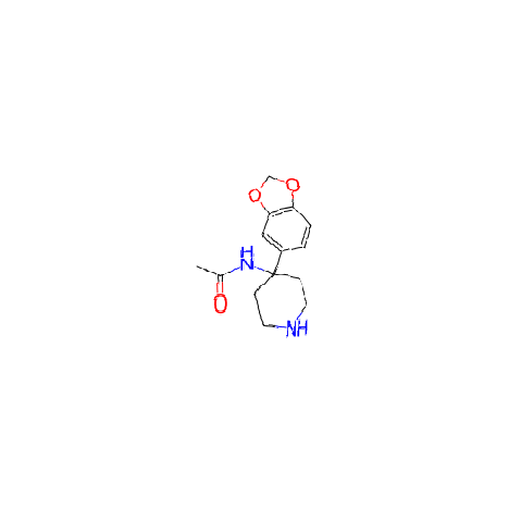 CC(=O)NC1(c2ccc3c(c2)OCO3)CCNCC1